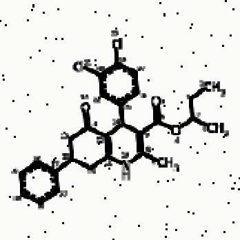 CCC(C)OC(=O)C1=C(C)NC2=C(C(=O)CC(c3ccccc3)C2)C1c1ccc(Cl)c(Cl)c1